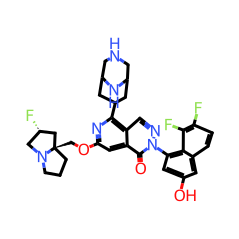 O=c1c2cc(OC[C@@]34CCCN3C[C@H](F)C4)nc(C3CC4CNCC(C3)N4)c2cnn1-c1cc(O)cc2ccc(F)c(F)c12